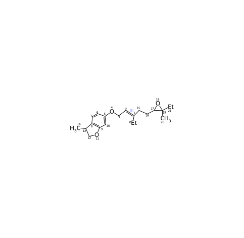 CC/C(=C\COc1ccc2c(c1)OCC2C)CCC1OC1(C)CC